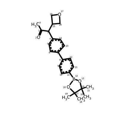 CC(=O)C(c1ccc(-c2ccc(B3OC(C)(C)C(C)(C)O3)cc2)cc1)C1COC1